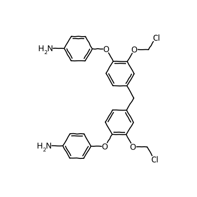 Nc1ccc(Oc2ccc(Cc3ccc(Oc4ccc(N)cc4)c(OCCl)c3)cc2OCCl)cc1